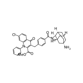 COC(=O)c1c(Cc2ccc(C(=O)N[C@@H]3[C@@H]4C[C@@H]5C[C@H]3C[C@@](N)(C5)C4)cc2)c(=O)c2ccc(Cl)cc2n1-c1ccccc1